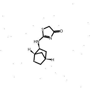 O=C1CSC(N[C@H]2C[C@@H]3CC[C@H]2C3)=N1